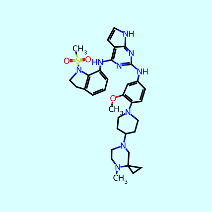 COc1cc(Nc2nc(Nc3cccc4c3N(S(C)(=O)=O)CC4)c3cc[nH]c3n2)ccc1N1CCC(N2CCN(C)C3(CC3)C2)CC1